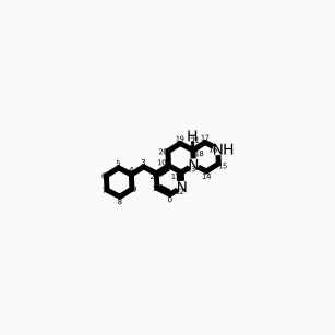 c1cc(CC2CCCCC2)c2c(n1)N1CCNC[C@H]1CC2